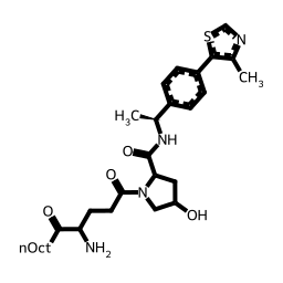 CCCCCCCCC(=O)C(N)CCC(=O)N1CC(O)CC1C(=O)N[C@@H](C)c1ccc(-c2scnc2C)cc1